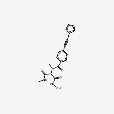 CNC(=O)C(C(=O)NO)N(C)C(=O)c1ccc(C#Cc2ccoc2)cc1